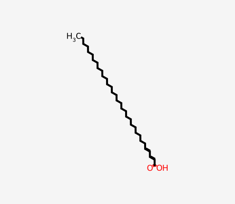 CCCCCCCCCCCCCCCCCCCCCCCCCCCCC=CC=CC(=O)O